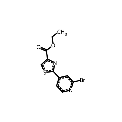 CCOC(=O)c1csc(-c2ccnc(Br)c2)n1